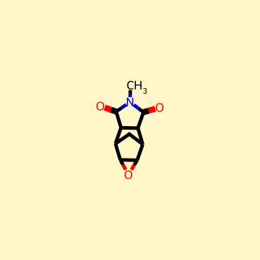 CN1C(=O)C2C3CC(C4OC34)C2C1=O